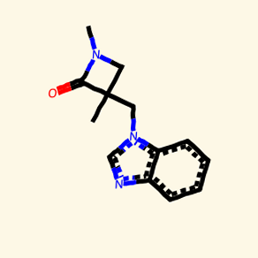 CN1CC(C)(Cn2cnc3ccccc32)C1=O